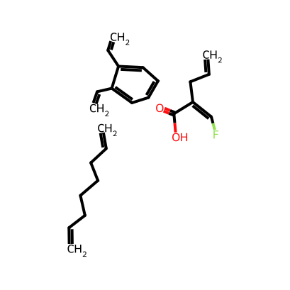 C=CCC(=CF)C(=O)O.C=CCCCCC=C.C=Cc1ccccc1C=C